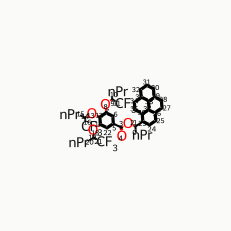 CCCC(OC(=O)c1cc(OC(CCC)C(F)(F)F)c(OC(CCC)C(F)(F)F)c(OC(CCC)C(F)(F)F)c1)c1ccc2ccc3cccc4ccc1c2c34